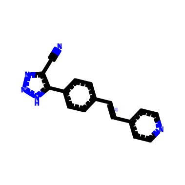 N#Cc1nn[nH]c1-c1ccc(/C=C/c2ccncc2)cc1